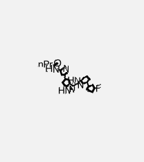 CCCC(=O)Nc1cncc(-c2ccc3[nH]nc(-c4nc5c(-c6cccc(F)c6)cccc5[nH]4)c3c2)c1